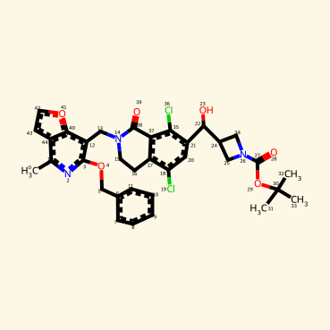 Cc1nc(OCc2ccccc2)c(CN2CCc3c(Cl)cc(C(O)C4CN(C(=O)OC(C)(C)C)C4)c(Cl)c3C2=O)c2occc12